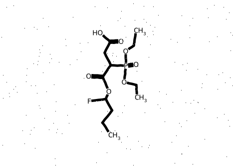 CCCC(F)OC(=O)C(CC(=O)O)P(=O)(OCC)OCC